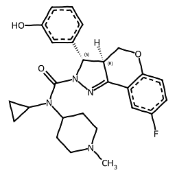 CN1CCC(N(C(=O)N2N=C3c4cc(F)ccc4OC[C@@H]3[C@H]2c2cccc(O)c2)C2CC2)CC1